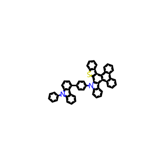 c1ccc(-n2c3ccccc3c3c(-c4ccc(-n5c6ccccc6c6c7c8ccccc8c8ccccc8c7c7c8ccccc8sc7c65)cc4)cccc32)cc1